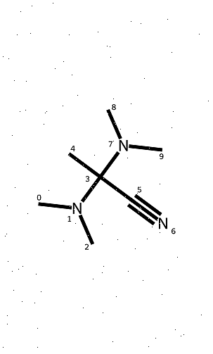 CN(C)C(C)(C#N)N(C)C